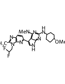 CNc1nc(NC2CCC(OC)CC2)nc2[nH]cc(-c3ccc4nc(C)n(CC(F)F)c4n3)c12